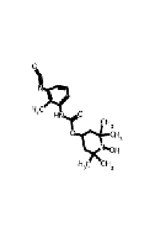 Cc1c(N=C=O)cccc1NC(=O)OC1CC(C)(C)N(O)C(C)(C)C1